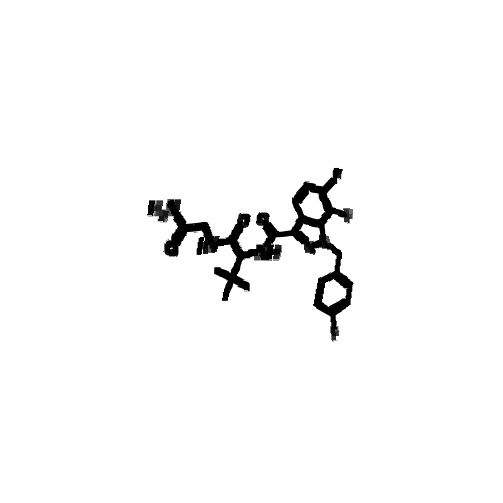 CC(C)(C)C(NC(=O)c1nn(Cc2ccc(F)cc2)c2c(F)c(F)ccc12)C(=O)NCC(N)=O